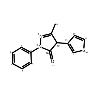 CC1=NN(c2ccccc2)C(=O)C1c1ccsc1